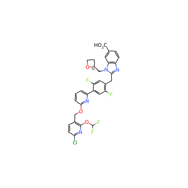 O=C(O)c1ccc2nc(Cc3cc(F)c(-c4cccc(OCc5ccc(Cl)nc5OC(F)F)n4)cc3F)n(C[C@@H]3CCO3)c2c1